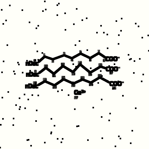 CCCCCCCCCCCCCCCCCC(=O)[O-].CCCCCCCCCCCCCCCCCC(=O)[O-].CCCCCCCCCCCCCCCCCC(=O)[O-].[Ga+3]